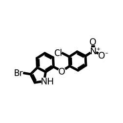 O=[N+]([O-])c1ccc(Oc2cccc3c(Br)c[nH]c23)c(Cl)c1